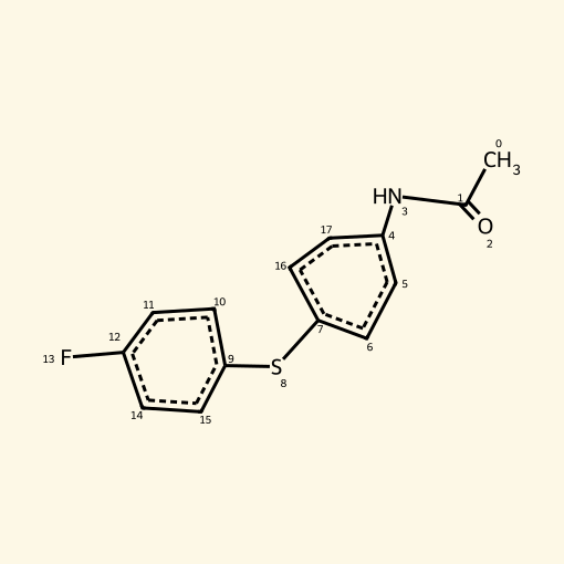 CC(=O)Nc1ccc(Sc2ccc(F)cc2)cc1